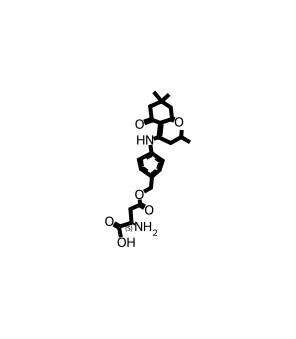 CC(C)CC(Nc1ccc(COC(=O)C[C@H](N)C(=O)O)cc1)=C1C(=O)CC(C)(C)CC1=O